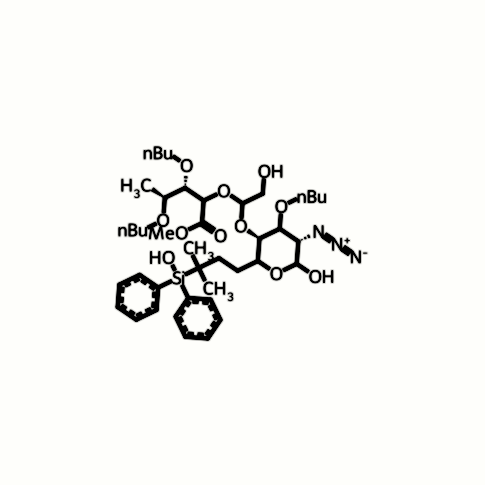 CCCCOC1[C@H](N=[N+]=[N-])C(O)OC(CCC(C)(C)[Si](O)(c2ccccc2)c2ccccc2)[C@H]1OC(CO)OC(C(=O)OC)[C@@H](OCCCC)[C@H](C)OCCCC